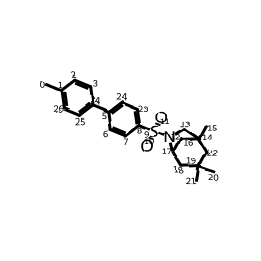 Cc1ccc(-c2ccc(S(=O)(=O)N3CC4(C)CC3CC(C)(C)C4)cc2)cc1